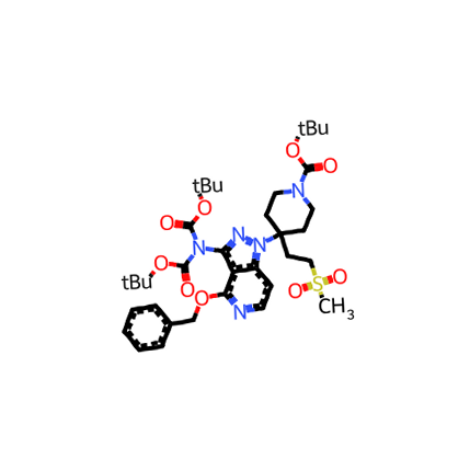 CC(C)(C)OC(=O)N1CCC(CCS(C)(=O)=O)(n2nc(N(C(=O)OC(C)(C)C)C(=O)OC(C)(C)C)c3c(OCc4ccccc4)nccc32)CC1